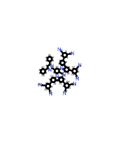 N#Cc1cc(C#N)cc(-c2ccc3c(c2)c2cc(-c4cc(C#N)cc(C#N)c4)ccc2n3-c2cc(-c3nc(-c4ccccc4)cc(-c4ccccc4)n3)cc(-n3c4ccc(-c5cc(C#N)cc(C#N)c5)cc4c4cc(-c5cc(C#N)cc(C#N)c5)ccc43)c2C#N)c1